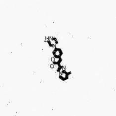 Cc1cccn2cc(-c3cc4ccc(N5CCN[C@@H](C)C5)cc4oc3=O)nc12